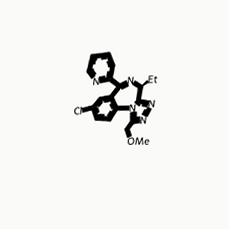 CC[C@@H]1N=C(c2ccccn2)c2cc(Cl)ccc2-n2c(COC)nnc21